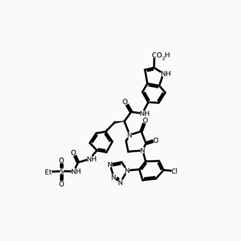 CCS(=O)(=O)NC(=O)Nc1ccc(C[C@@H](C(=O)Nc2ccc3[nH]c(C(=O)O)cc3c2)N2CCN(c3cc(Cl)ccc3-n3cnnn3)C(=O)C2=O)cc1